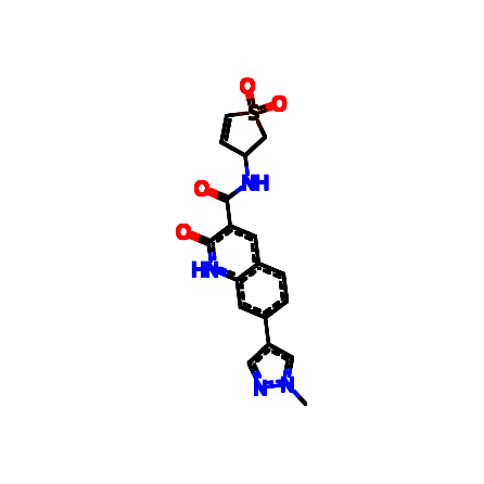 Cn1cc(-c2ccc3cc(C(=O)NC4C=CS(=O)(=O)C4)c(=O)[nH]c3c2)cn1